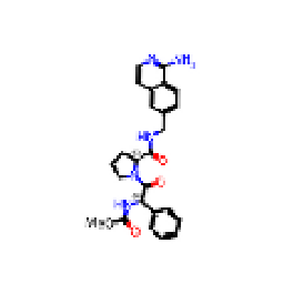 COC(=O)N[C@@H](C(=O)N1CCC[C@H]1C(=O)NCc1ccc2c(N)nccc2c1)c1ccccc1